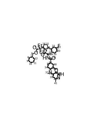 CCC(CC)(C(=O)OCc1ccccc1)[C@H]1CC[C@@H](c2cccc(F)c2)N1C(=O)[C@@H](C)NC(=O)c1ccc(N(C)c2cc(C)n[nH]c2=O)c(C)c1